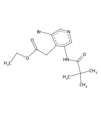 CCOC(=O)Cc1c(Br)cncc1NC(=O)C(C)(C)C